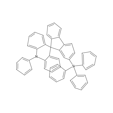 c1ccc(N2c3ccccc3C3(c4ccccc4-c4ccc([Si](c5ccccc5)(c5ccccc5)c5ccccc5)cc43)c3ccccc32)cc1